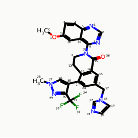 COc1ccc2ncnc(N3CCc4c(cc(Cn5ccnc5)cc4-c4cn(C)nc4C(F)(F)F)C3=O)c2c1